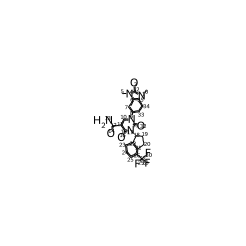 Cn1c(=O)n(C)c2cc(-n3cc(C(N)=O)c(=O)n([C@@H]4CCc5c4cccc5C(F)(F)F)c3=O)ccc21